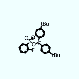 CC(C)(C)c1ccc([I+](OS(=O)(=O)c2ccccc2F)c2ccc(C(C)(C)C)cc2)cc1